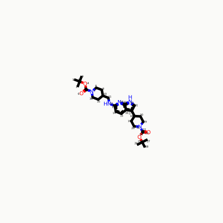 CC(C)(C)OC(=O)N1CCC(CNc2ccc3c(C4CCN(C(=O)OC(C)(C)C)CC4)c[nH]c3n2)CC1